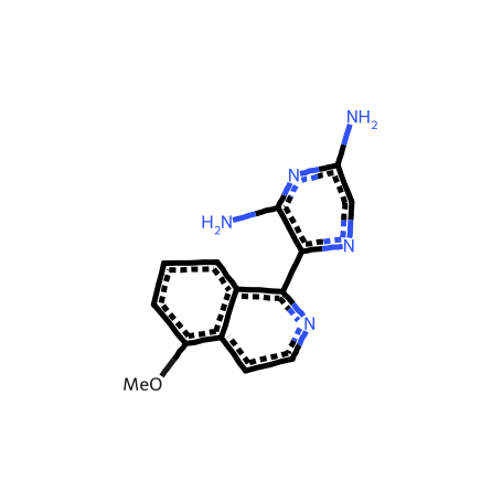 COc1cccc2c(-c3ncc(N)nc3N)nccc12